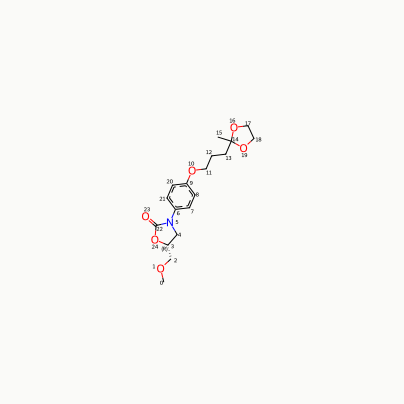 COC[C@H]1CN(c2ccc(OCCCC3(C)OCCO3)cc2)C(=O)O1